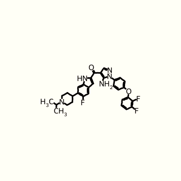 CC(C)N1CCC(c2cc3[nH]c(C(=O)c4cnn(-c5ccc(Oc6cccc(F)c6F)cc5)c4N)cc3cc2F)CC1